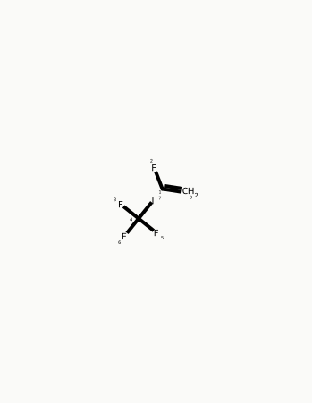 C=CF.FC(F)(F)I